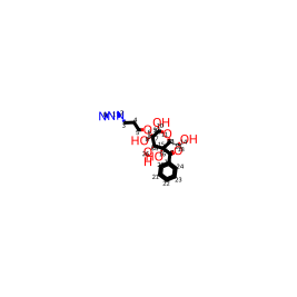 [N-]=[N+]=NCCCO[C@@]1(O)[C@H](O)O[C@H](CO)[C@](O)(C(=O)c2ccccc2)[C@@H]1O